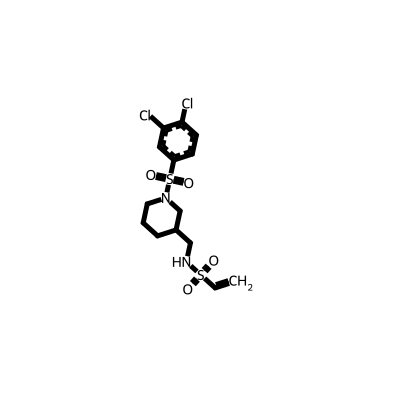 C=CS(=O)(=O)NCC1CCCN(S(=O)(=O)c2ccc(Cl)c(Cl)c2)C1